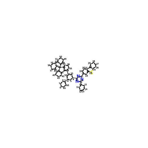 c1ccc(-c2cc(-c3nc(-c4ccccc4)nc(-c4ccc5c(c4)sc4ccccc45)n3)cc(-c3cccc4c3-c3ccccc3C4(c3ccccc3)c3ccccc3)c2)cc1